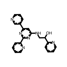 OC(CNc1cc(-c2cccnc2)nc(-c2ccccn2)n1)c1ccccn1